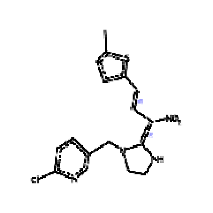 Cc1ccc(/C=C/C(=C2/NCCN2Cc2ccc(Cl)nc2)[N+](=O)[O-])s1